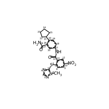 Cn1ncnc1Sc1ccc([N+](=O)[O-])cc1C(=O)Nc1ccc(C2CCCC2)c(C(N)=O)c1